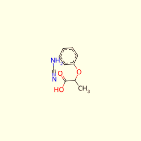 CC(Oc1ccccc1)C(=O)O.N#CN